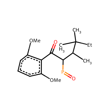 CCC(C)(C)C(C)C(P=O)C(=O)c1c(OC)cccc1OC